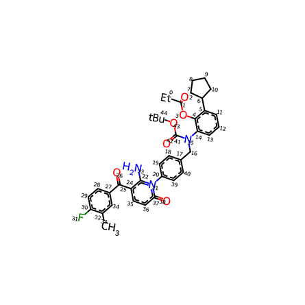 CCC(=O)Oc1c(C2CCCC2)cccc1N(Cc1ccc(-n2c(N)c(C(=O)c3ccc(F)c(C)c3)ccc2=O)cc1)C(=O)OC(C)(C)C